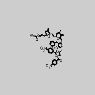 C=C1C(C[C@@H]2O[C@H](C[C@@H](COC(=O)c3ccc([N+](=O)[O-])cc3)OC(=O)c3ccc([N+](=O)[O-])cc3)[C@H](OC)[C@H]2Cc2ccccc2)O[C@@H](CC[C@@H]2O[C@@H](CCCOC(=O)C(C)(C)C)CC2=C)C[C@H]1C